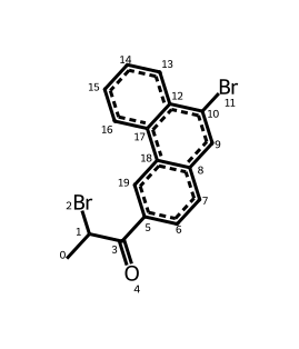 CC(Br)C(=O)c1ccc2cc(Br)c3ccccc3c2c1